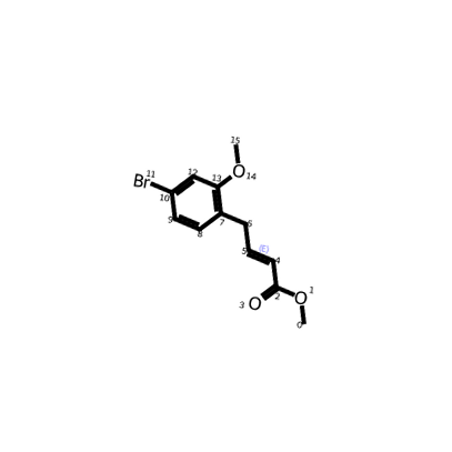 COC(=O)/C=C/Cc1ccc(Br)cc1OC